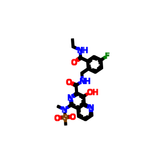 CCNC(=O)c1cc(F)ccc1CNC(=O)c1nc(N(C)S(C)(=O)=O)c2cccnc2c1O